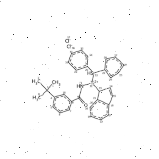 CC(C)(C)c1cccc(C(=O)[NH][Ti+2]([CH]2C=Cc3ccccc32)[SiH](c2ccccc2)c2ccccc2)c1.[Cl-].[Cl-]